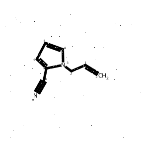 C=CCn1cc[c]c1C#N